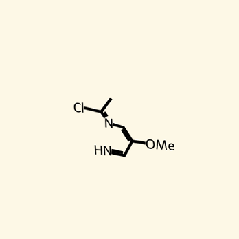 CO/C(C=N)=C/N=C(\C)Cl